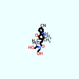 CC1=C(/C=C(\C)C(=O)N(CCO)CCO)C(C)(C)c2[nH]c3cc(C#N)ccc3c2C1=O